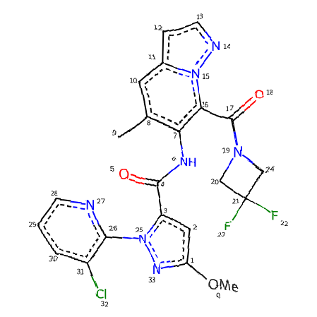 COc1cc(C(=O)Nc2c(C)cc3ccnn3c2C(=O)N2CC(F)(F)C2)n(-c2ncccc2Cl)n1